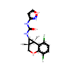 O=C(Nc1ccon1)N[C@@H]1[C@H]2COc3c(F)ccc(F)c3[C@@H]21